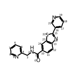 O=C(NCc1ccccn1)c1ccc2nc(-c3cccnc3)sc2c1